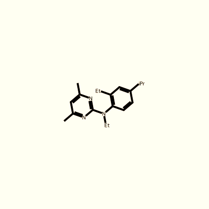 CCc1cc(C(C)C)ccc1N(CC)c1nc(C)cc(C)n1